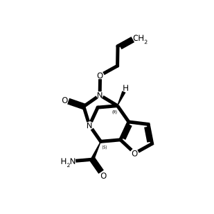 C=CCON1C(=O)N2C[C@H]1c1ccoc1[C@H]2C(N)=O